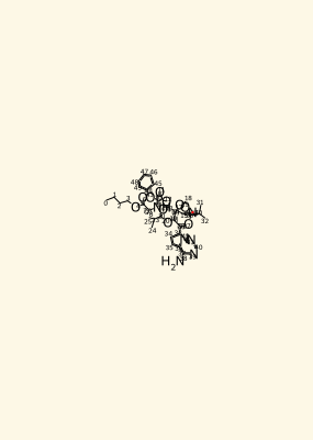 CCCCOC(=O)[C@H](C)NP(=O)(OC[C@@](C#N)(OC)[C@@H](OC(=O)C(C)C)[C@@H](OC(=O)C(C)C)c1ccc2c(N)ncnn12)Oc1ccccc1